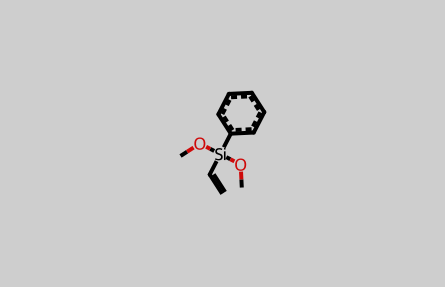 C=C[Si](OC)(OC)c1ccccc1